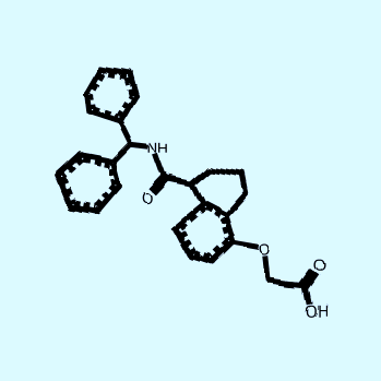 O=C(O)COc1cccc2c1CCCC2C(=O)NC(c1ccccc1)c1ccccc1